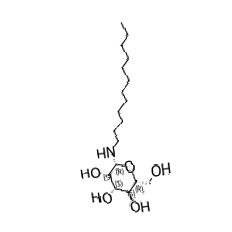 CCCCCCCCCCCCN[C@@H]1O[C@H](CO)[C@@H](O)[C@H](O)[C@@H]1O